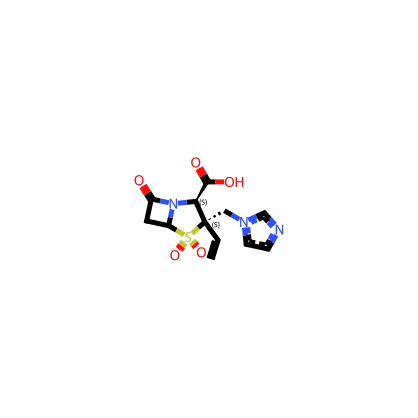 C=C[C@]1(Cn2ccnc2)[C@H](C(=O)O)N2C(=O)CC2S1(=O)=O